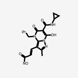 Cc1nn2c(O)c(C(=O)NC3CC3)c(=O)n(CC(C)C)c2c1/C=C/C(=O)N=O